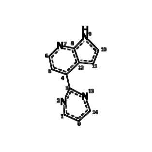 c1cnc(-c2ccnc3[nH]ccc23)nc1